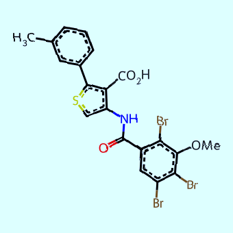 COc1c(Br)c(Br)cc(C(=O)Nc2csc(-c3cccc(C)c3)c2C(=O)O)c1Br